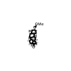 COCO[C@@H]1CC[C@@]2(C)[C@@H](CC[C@@H]3[C@@H]2CC[C@@]24CCCC(=O)[C@H]2CC[C@@H]34)C1